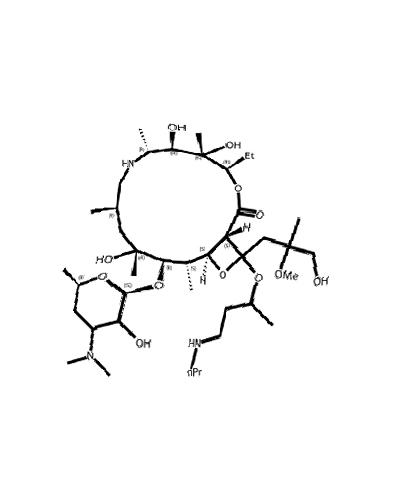 CCCNCCC(C)OC1(CC(C)(CO)OC)O[C@H]2[C@H](C)[C@@H](O[C@@H]3O[C@H](C)CC(N(C)C)C3O)[C@](C)(O)C[C@@H](C)CN[C@H](C)[C@@H](O)[C@](C)(O)[C@@H](CC)OC(=O)[C@@H]21